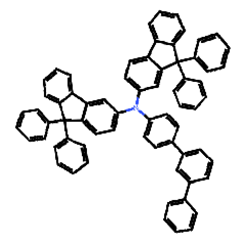 c1ccc(-c2cccc(-c3ccc(N(c4ccc5c(c4)-c4ccccc4C5(c4ccccc4)c4ccccc4)c4ccc5c(c4)C(c4ccccc4)(c4ccccc4)c4ccccc4-5)cc3)c2)cc1